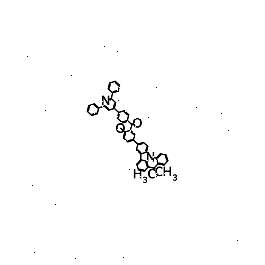 CC1(C)c2ccccc2-n2c3ccc(-c4ccc5oc6cc(-c7cc(-c8ccccc8)nc(-c8ccccc8)c7)ccc6c(=O)c5c4)cc3c3cccc1c32